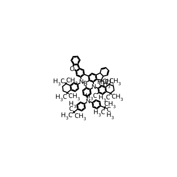 Cc1cc2c(cc1N1c3cc(N(c4ccc(C(C)(C)C)cc4)c4ccc(C(C)(C)C)cc4)ccc3B3c4c(cc5c(c41)C(C)(C)C1C=CC=CC51)-c1cc4c(cc1N3c1ccc3c(c1)C(C)(C)CCC3(C)C)oc1ccccc14)C(C)(C)CCC2(C)C